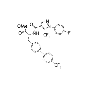 COC(=O)C(Cc1ccc(-c2ccc(C(F)(F)F)cc2)cc1)NC(=O)c1cnn(-c2ccc(F)cc2)c1C(F)(F)F